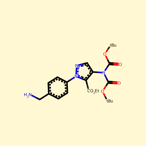 CCOC(=O)c1c(N(C(=O)OC(C)(C)C)C(=O)OC(C)(C)C)cnn1-c1ccc(CN)cc1